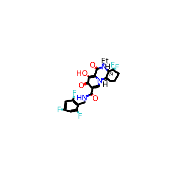 CCN1C(=O)c2c(O)c(=O)c(C(=O)NCc3c(F)cc(F)cc3F)cn2[C@H]2CCCC(F)(F)[C@H]21